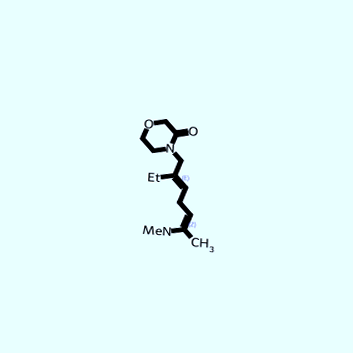 CC/C(=C\C/C=C(/C)NC)CN1CCOCC1=O